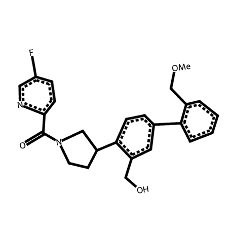 COCc1ccccc1-c1ccc(C2CCN(C(=O)c3ccc(F)cn3)C2)c(CO)c1